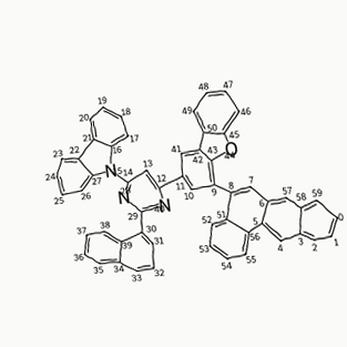 c1ccc2cc3c(cc(-c4cc(-c5cc(-n6c7ccccc7c7ccccc76)nc(-c6cccc7ccccc67)n5)cc5c4oc4ccccc45)c4ccccc43)cc2c1